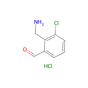 Cl.NCc1c(Cl)cccc1C=O